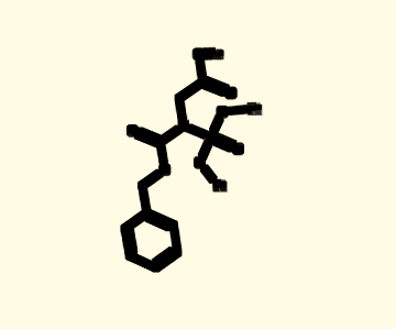 CCOP(=O)(OCC)N(CC(=O)OC)C(=O)OCc1ccccc1